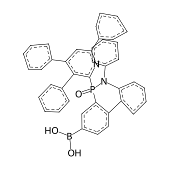 O=P1(c2nc(-c3ccccc3)cc(-c3ccccc3)c2-c2ccccc2)c2cc(B(O)O)ccc2-c2ccccc2N1c1ccccc1